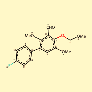 COCOc1c(OC)cc(-c2ccc(F)cc2)c(OC)c1C=O